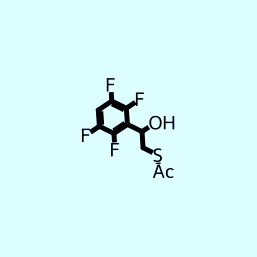 CC(=O)SCC(O)c1c(F)c(F)cc(F)c1F